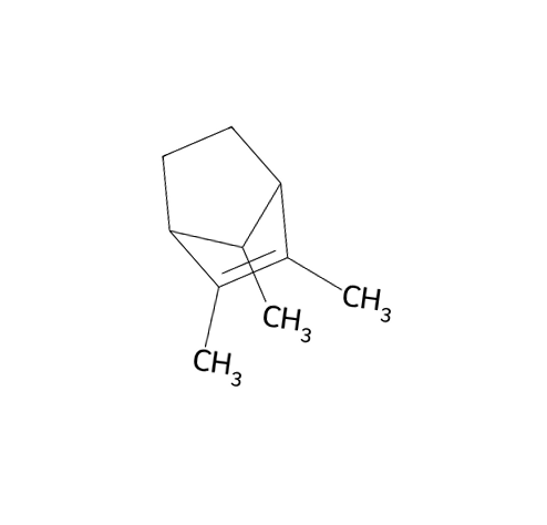 CC1=C(C)C2CCC1C2C